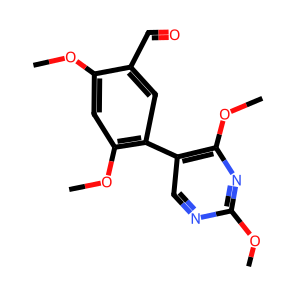 COc1ncc(-c2cc(C=O)c(OC)cc2OC)c(OC)n1